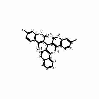 Cc1ccc2c(O)c(C(c3cnc4ccccc4c3)c3c(O)c4ccc(C)cc4oc3=O)c(=O)oc2c1